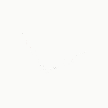 [Be+2].[Be+2].[Be+2].[Br-].[Br-].[Br-].[Br-].[Br-].[Br-].[Ca+2].[Ca+2].[Cl-].[Cl-].[Cl-].[Cl-].[Cl-].[Cl-].[I-].[I-].[I-].[I-].[Mg+2].[Mg+2].[Mg+2]